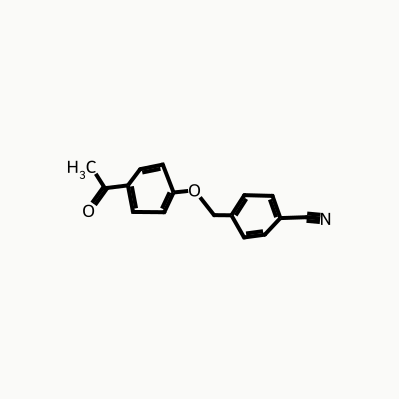 CC(=O)c1ccc(OCc2ccc(C#N)cc2)cc1